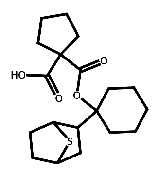 O=C(O)C1(C(=O)OC2(C3CC4CCC3S4)CCCCC2)CCCC1